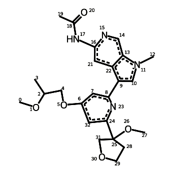 COC(C)COc1cc(-c2cn(C)c3cnc(NC(C)=O)cc23)nc(C2(OC)CCOC2)c1